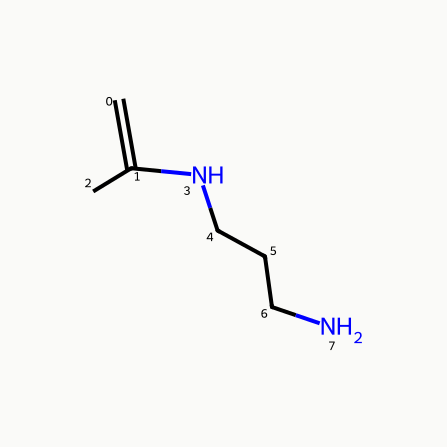 C=C(C)NCCCN